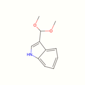 COC(OC)c1c[nH]c2ccccc12